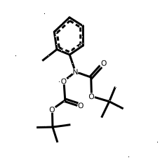 Cc1ccccc1N(OC(=O)OC(C)(C)C)C(=O)OC(C)(C)C